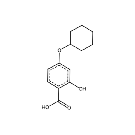 O=C(O)c1ccc(OC2CCCCC2)cc1O